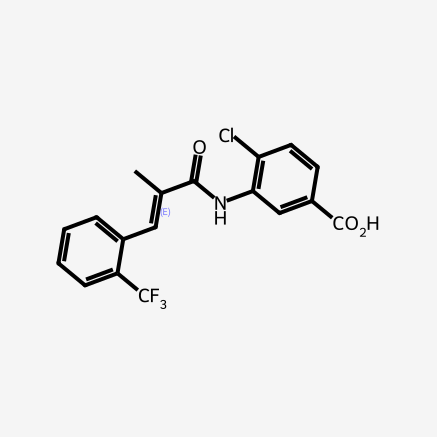 C/C(=C\c1ccccc1C(F)(F)F)C(=O)Nc1cc(C(=O)O)ccc1Cl